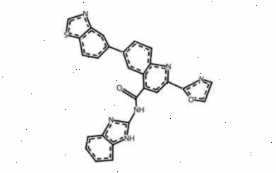 O=C(Nc1nc2ccccc2[nH]1)c1cc(-c2ncco2)nc2ccc(-c3ccc4scnc4c3)cc12